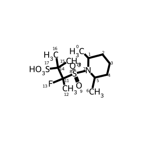 CC1CCCC(C)N1S(=O)(=O)C(C)(F)C(C)(C)S(=O)(=O)O